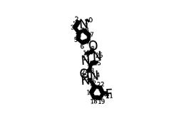 Cn1[c]cc2ccc(Oc3cnc(-c4nc(-c5cccc(F)c5)no4)cn3)cc21